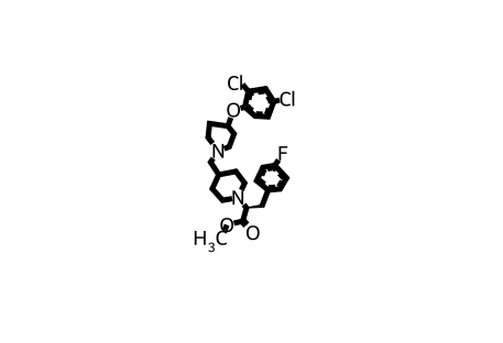 COC(=O)[C@H](Cc1ccc(F)cc1)N1CCC(CN2CCC(Oc3ccc(Cl)cc3Cl)CC2)CC1